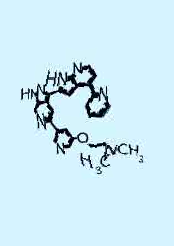 CN(C)CCOc1cncc(-c2cc3c(-c4cc5c(-c6ccccn6)ccnc5[nH]4)n[nH]c3cn2)c1